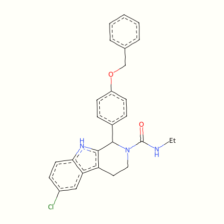 CCNC(=O)N1CCc2c([nH]c3ccc(Cl)cc23)C1c1ccc(OCc2ccccc2)cc1